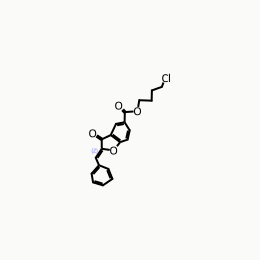 O=C(OCCCCCl)c1ccc2c(c1)C(=O)/C(=C/c1ccccc1)O2